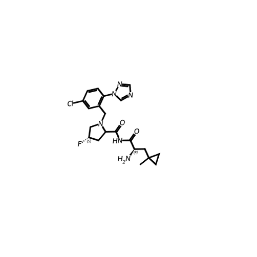 CC1(C[C@@H](N)C(=O)NC(=O)C2C[C@H](F)CN2Cc2cc(Cl)ccc2-n2cncn2)CC1